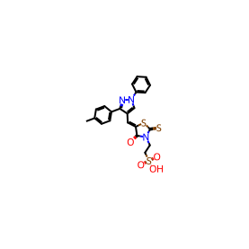 Cc1ccc(-c2nn(-c3ccccc3)cc2C=C2SC(=S)N(CCS(=O)(=O)O)C2=O)cc1